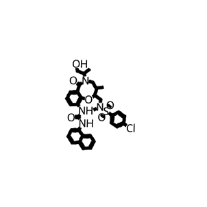 CC1CN(C(C)CO)C(=O)c2cccc(NC(=O)Nc3cccc4ccccc34)c2OC1CN(C)S(=O)(=O)c1ccc(Cl)cc1